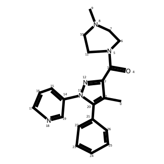 Cc1c(C(=O)N2CCN(C)CC2)nn(-c2cccnc2)c1-c1ccccc1